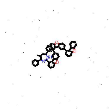 CC1=C(c2ccccc2)N=C(c2cccc3oc4ccc(-c5cccc6oc7ccc(-c8cccc9oc%10ccccc%10c89)cc7c56)cc4c23)NC(c2ccccc2)C1